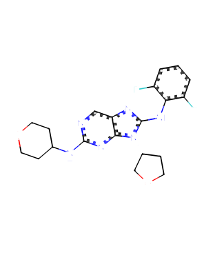 Fc1cccc(F)c1Nc1nc2cnc(NC3CCOCC3)nc2n1[C@@H]1CCOC1